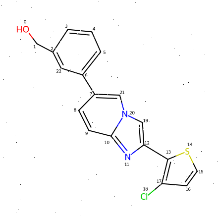 OCc1cccc(-c2ccc3nc(-c4sccc4Cl)cn3c2)c1